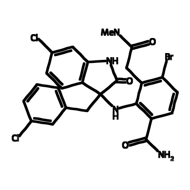 CNC(=O)Cc1c(Br)ccc(C(N)=O)c1NC1(Cc2cccc(Cl)c2)C(=O)Nc2cc(Cl)ccc21